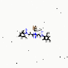 Cc1cc(C)c(NCCCNCCCNc2c(C)cc(C)cc2C)c(C)c1.[Br-].[Br-].[Co+2]